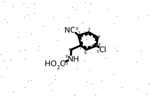 N#Cc1ccc(Cl)cc1CNC(=O)O